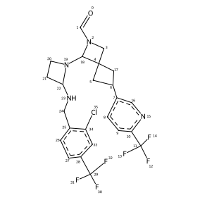 O=CN1CC2(CC(c3ccc(C(F)(F)F)nc3)C2)C1N1CCC1NCc1ccc(C(F)(F)F)cc1Cl